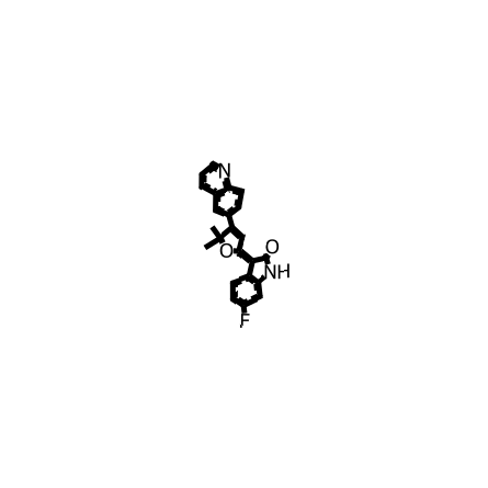 CC1(C)OC(=C2C(=O)Nc3cc(F)ccc32)C=C1c1ccc2ncccc2c1